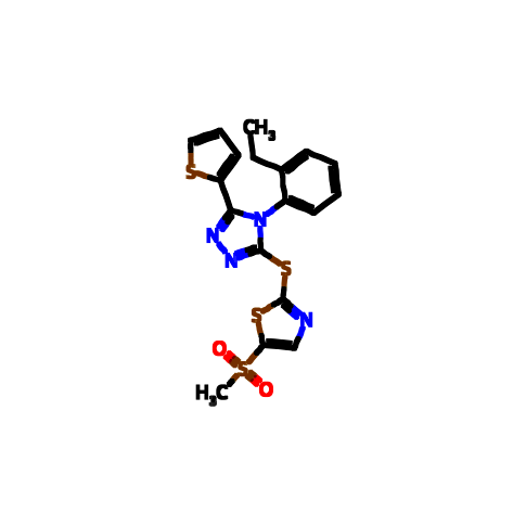 CCc1ccccc1-n1c(Sc2ncc(S(C)(=O)=O)s2)nnc1-c1cccs1